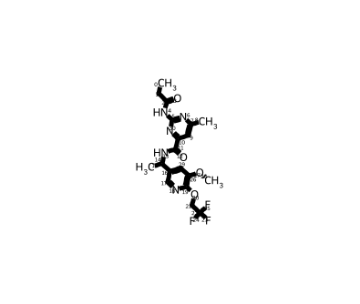 CCC(=O)Nc1nc(C)cc(C(=O)NC(C)c2cnc(OCC(F)(F)F)c(OC)c2)n1